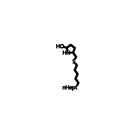 CCCCCCCCCCCCSCC1CCC(O)N1